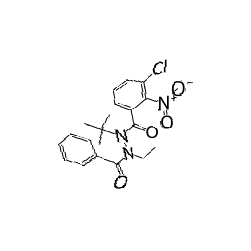 CCN(C(=O)c1ccccc1)N(C(=O)c1cccc(Cl)c1[N+](=O)[O-])C(C)(C)C